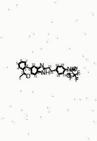 CC(=O)c1ccccc1-c1ccc2[nH]c(CCc3ccc(NS(=O)(=O)C(F)(F)F)cc3)nc2c1